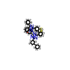 c1ccc(-c2cccc(-c3nc(-c4ccccc4)nc(-c4cccc5sc6ccc(-c7nc(-c8ccccc8)c8ccccc8n7)cc6c45)n3)c2)cc1